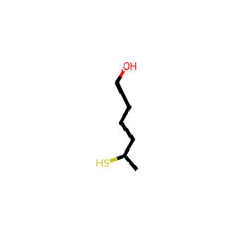 CC(S)CCCCO